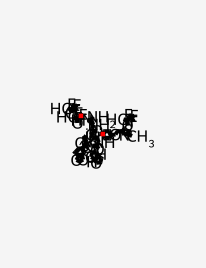 Cc1nc(COc2ccc(C[C@H](NC(=O)O[C@H]3CO[C@H]4OCC[C@H]43)[C@@H](CN(CC(C)C)S(=O)(=O)c3ccc4c(c3)OCO4)OC(=O)CNC(=N)N)cc2)cs1.O=C(O)C(F)(F)F.O=C(O)C(F)(F)F.O=C(O)C(F)(F)F